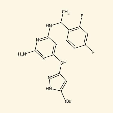 CC(Nc1nc(N)nc(Nc2cc(C(C)(C)C)[nH]n2)n1)c1ccc(F)cc1F